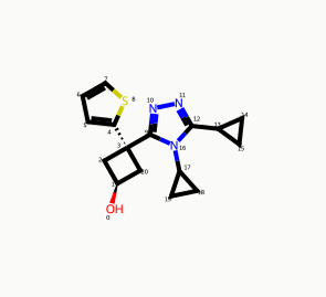 O[C@H]1C[C@@](c2cccs2)(c2nnc(C3CC3)n2C2CC2)C1